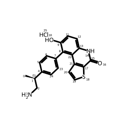 C[C@H](CN)c1ccc(-c2c(O)ccc3[nH]c(=O)c4sccc4c23)cc1.Cl